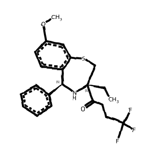 CC[C@]1(C(=O)CCC(F)(F)F)CSc2cc(OC)ccc2[C@H](c2ccccc2)N1